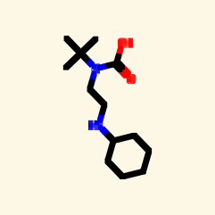 CC(C)(C)N(CCNC1CCCCC1)C(=O)O